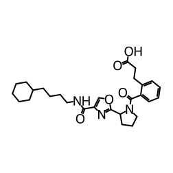 O=C(O)CCc1ccccc1C(=O)N1CCCC1c1nc(C(=O)NCCCCC2CCCCC2)co1